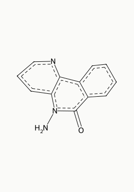 Nn1c(=O)c2ccccc2c2ncccc21